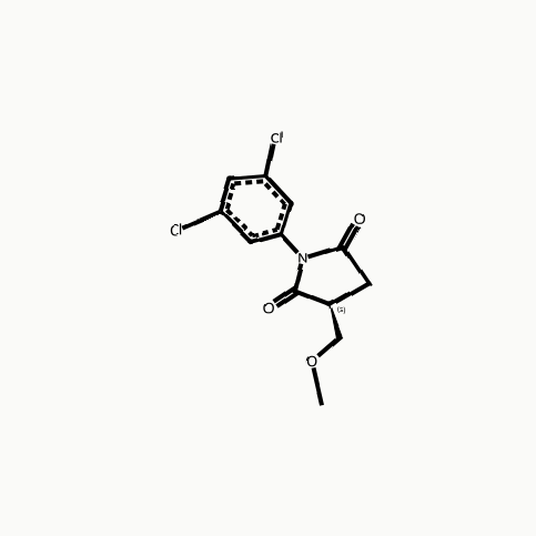 COC[C@@H]1CC(=O)N(c2cc(Cl)cc(Cl)c2)C1=O